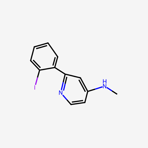 CNc1ccnc(-c2ccccc2I)c1